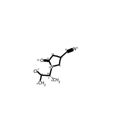 CC(Cl)[C@@H](C)N1CC(C#N)CC1=O